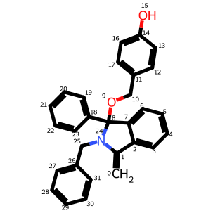 C=C1c2ccccc2C(OCc2ccc(O)cc2)(c2ccccc2)N1Cc1ccccc1